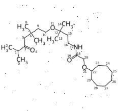 CC(C)C(=O)CC(C)(C)CCOC(C)(C)CCNC(=O)COC1CCCCCCC1